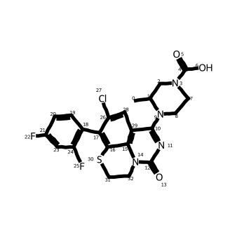 CC1CN(C(=O)O)CCN1c1nc(=O)n2c3c(c(-c4ccc(F)cc4F)c(Cl)cc13)SCC2